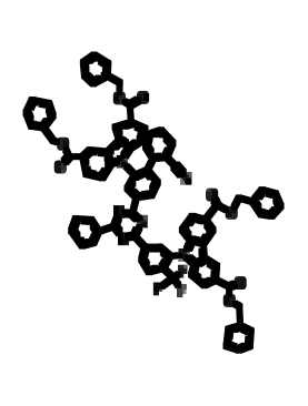 N#Cc1ccccc1-c1ccc(-c2nc(-c3ccccc3)nc(-c3ccc(C(F)(F)F)c(-n4c5ccc(C(=O)OCc6ccccc6)cc5c5cc(C(=O)OCc6ccccc6)ccc54)c3)n2)cc1-n1c2ccc(C(=O)OCc3ccccc3)cc2c2cc(C(=O)OCc3ccccc3)ccc21